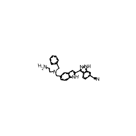 N#Cc1ccc2c(-c3cc4cc(CN(CCN)Cc5ccccc5)ccc4[nH]3)n[nH]c2c1